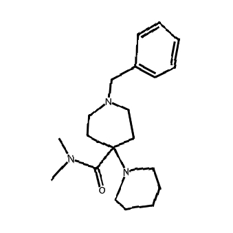 CN(C)C(=O)C1(N2CCCCC2)CCN(Cc2ccccc2)CC1